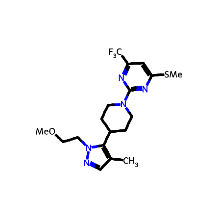 COCCn1ncc(C)c1C1CCN(c2nc(SC)cc(C(F)(F)F)n2)CC1